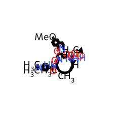 COc1ccc2c(O[C@@H]3C[C@H]4C(=O)N[C@]5(C(=O)NS(=O)(=O)C6(C)CC6)C[C@H]5C=CCC[C@H](C)C[C@@H](C)[C@H](NC(=O)c5ccc(N(C)C)cc5)C(=O)N4C3)nccc2c1